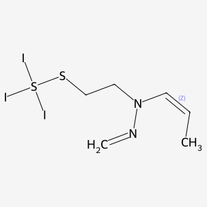 C=NN(/C=C\C)CCSS(I)(I)I